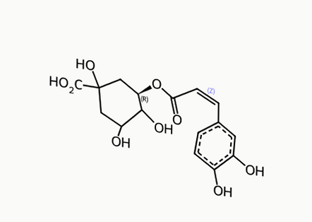 O=C(/C=C\c1ccc(O)c(O)c1)O[C@@H]1CC(O)(C(=O)O)CC(O)C1O